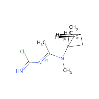 C/C(=N\C(=N)Cl)N(C)C12CC([C@H]1C)[C@H]2C